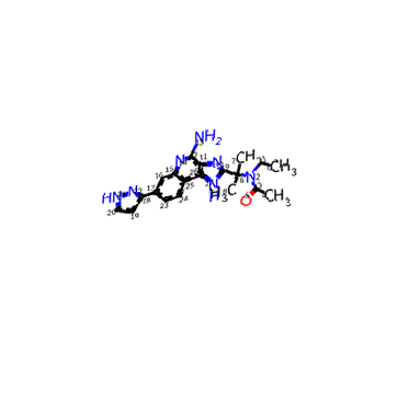 CCN(C(C)=O)C(C)(C)c1nc2c(N)nc3cc(-c4cc[nH]n4)ccc3c2[nH]1